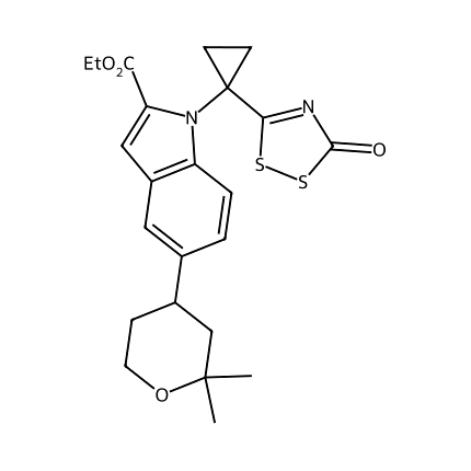 CCOC(=O)c1cc2cc(C3CCOC(C)(C)C3)ccc2n1C1(c2nc(=O)ss2)CC1